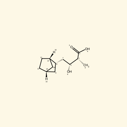 C[C@@H](C(=O)O)[C@H](O)C[C@@H]1C[C@@H]2CC[C@H]1C2